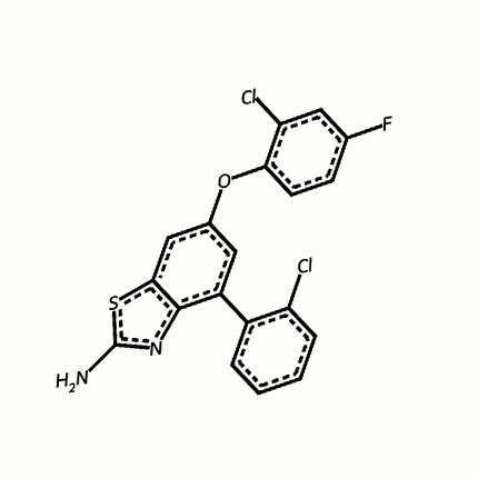 Nc1nc2c(-c3ccccc3Cl)cc(Oc3ccc(F)cc3Cl)cc2s1